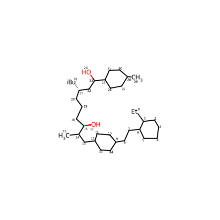 CCC1CCCCC1CCC1CCC(CC(C)[C@H](O)CCC[C@@H](CC(O)C2CCC(C)CC2)C(C)CC)CC1